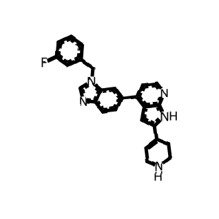 Fc1cccc(Cn2cnc3ccc(-c4ccnc5[nH]c(C6=CCNCC6)cc45)cc32)c1